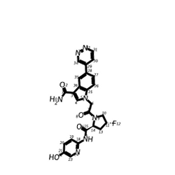 NC(=O)c1cn(CC(=O)N2C[C@H](F)C[C@H]2C(=O)Nc2ccc(O)cn2)c2ccc(-c3ccnnc3)cc12